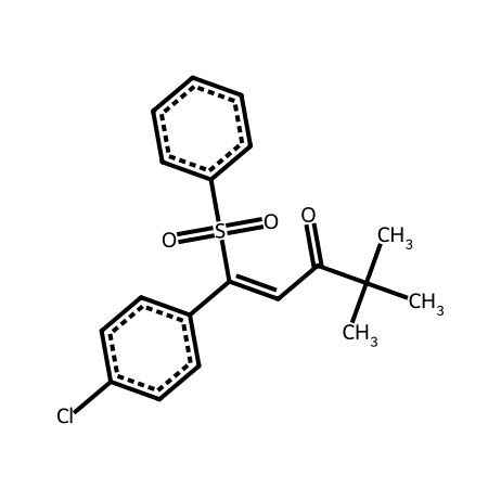 CC(C)(C)C(=O)/C=C(/c1ccc(Cl)cc1)S(=O)(=O)c1ccccc1